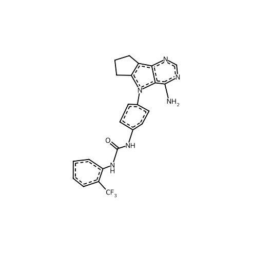 Nc1ncnc2c3c(n(-c4ccc(NC(=O)Nc5ccccc5C(F)(F)F)cc4)c12)CCC3